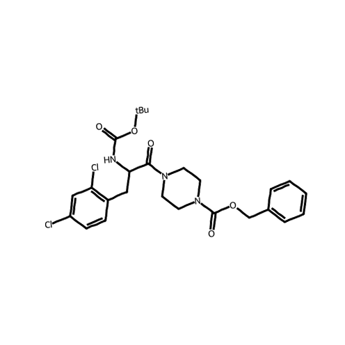 CC(C)(C)OC(=O)NC(Cc1ccc(Cl)cc1Cl)C(=O)N1CCN(C(=O)OCc2ccccc2)CC1